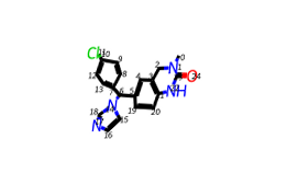 CN1Cc2cc(C(c3ccc(Cl)cc3)n3ccnc3)ccc2NC1=O